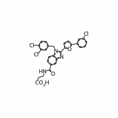 O=C(O)CCNC(=O)c1ccc2c(c1)nc(-c1ccc(-c3cccc(Cl)c3)o1)n2Cc1ccc(Cl)c(Cl)c1